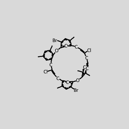 Cc1cc(C)c2c(c1)C/C(Cl)=C\Cc1cc(c(Br)cc1C)Oc1c(C)cc(cc1C)C/C(Cl)=C\Cc1cc(c(Br)cc1C)O2